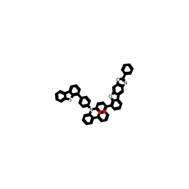 c1ccc(-c2nc3cc4c(cc3o2)oc2c(-c3ccc(N(c5ccc(-c6cccc7c6sc6ccccc67)cc5)c5ccccc5-c5ccccc5)cc3)cccc24)cc1